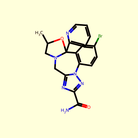 CC1CN2Cc3nc(C(N)=O)nn3-c3ccc(Br)cc3C2(c2ccccn2)O1